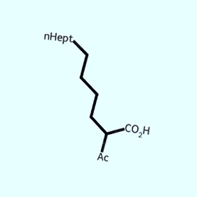 CCCCCCCCCCCC(C(C)=O)C(=O)O